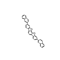 c1ccc2cc(-c3ccc4c(c3)oc3c4ccc4c5ccc(-c6ccc7ccccc7c6)cc5oc43)ccc2c1